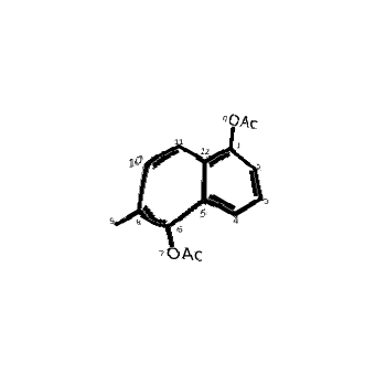 CC(=O)Oc1cccc2c(OC(C)=O)c(C)ccc12